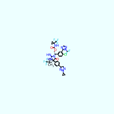 CC(C)(C[C@]1(c2ccc(-c3cnn(C4CC4)n3)cc2)NC(=N)N([C@H](COC(=O)NC2(C(F)(F)F)CC2)c2ccc(Cl)c(-c3ncnn3C(F)F)c2)C1=O)C(F)(F)F